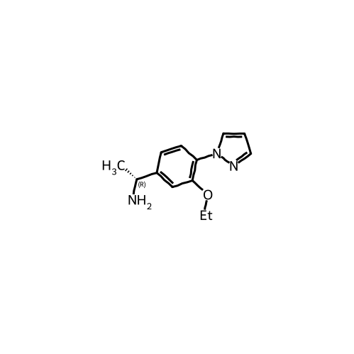 CCOc1cc([C@@H](C)N)ccc1-n1cccn1